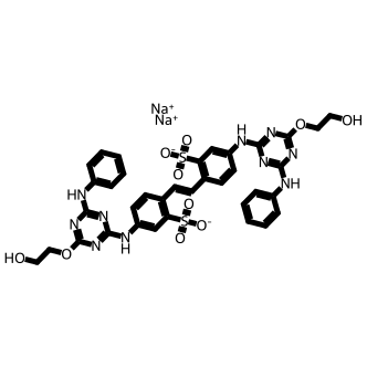 O=S(=O)([O-])c1cc(Nc2nc(Nc3ccccc3)nc(OCCO)n2)ccc1C=Cc1ccc(Nc2nc(Nc3ccccc3)nc(OCCO)n2)cc1S(=O)(=O)[O-].[Na+].[Na+]